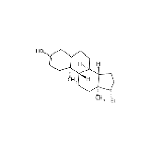 CC[C@H]1CC[C@H]2[C@@H]3CCC4CC(O)=CC[C@]4(C)[C@H]3CC[C@]12C